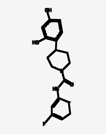 O=C(NC1=CC(F)=CC[CH]1)N1CCC(c2ccc(O)cc2O)CC1